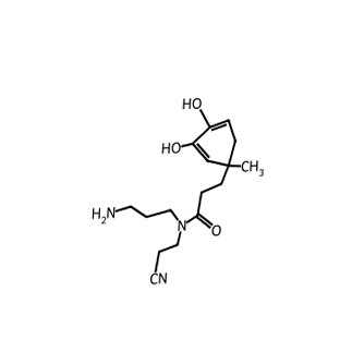 CC1(CCC(=O)N(CCC#N)CCCN)C=C(O)C(O)=CC1